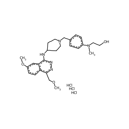 COCc1nnc(NC2CCN(Cc3ccc(N(C)CCO)cc3)CC2)c2cc(OC)ccc12.Cl.Cl.Cl